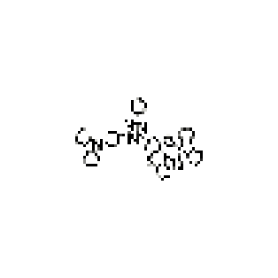 c1ccc(-c2nc(-c3ccc(-n4c5ccccc5c5ccccc54)cc3)nc(-c3ccc4c(c3)Sc3ccccc3C43c4ccccc4C4(c5ccccc5-c5ccccc54)c4ccccc43)n2)cc1